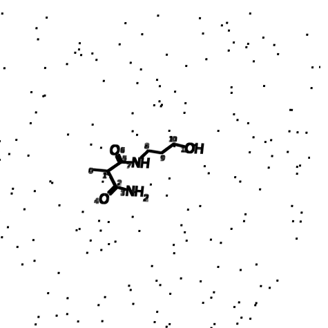 C[C](C(N)=O)C(=O)NCCCO